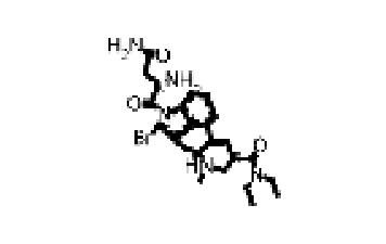 CCN(CC)C(=O)[C@@H]1C=C2c3cccc4c3c(c(Br)n4C(=O)[C@@H](N)CC(N)=O)C[C@H]2N(C)C1